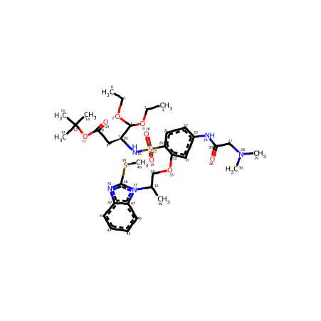 CCOC(OCC)[C@H](CC(=O)OC(C)(C)C)NS(=O)(=O)c1ccc(NC(=O)CN(C)C)cc1OCC(C)n1c(SC)nc2ccccc21